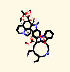 CC/C1=C/C(CI)C[C@](C(=O)OC)(c2cc3c(cc2OC)N(C)[C@H]2C(O)(C(=O)OC)[C@H](OC(C)=O)[C@]4(CC)C=CCN5CC[C@]32[C@@H]54)c2[nH]c3ccccc3c2CCNC1